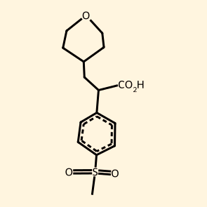 CS(=O)(=O)c1ccc(C(CC2CCOCC2)C(=O)O)cc1